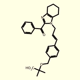 CC(C)(OCc1ccc(/C=C/Cn2c(C(=O)c3ccccc3)nc3c2CCCC3)cc1)C(=O)O